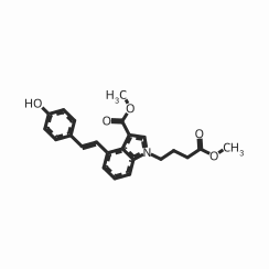 COC(=O)CCCn1cc(C(=O)OC)c2c(C=Cc3ccc(O)cc3)cccc21